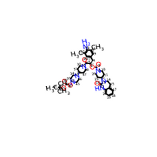 Cc1cc(C[C@@H](OC(=O)N2CCC(N3CCc4ccccc4NC3=O)CC2)C(=O)N2CCC(N3CCN(OC(=O)OC(C)(C)C)CC3)CC2)cc(C)c1N